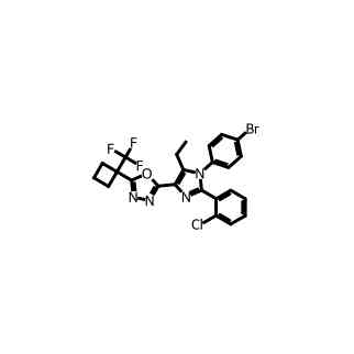 CCc1c(-c2nnc(C3(C(F)(F)F)CCC3)o2)nc(-c2ccccc2Cl)n1-c1ccc(Br)cc1